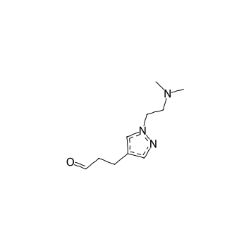 CN(C)CCn1cc(CCC=O)cn1